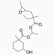 CCC(C)(CC1OC1C)C(=O)OC(C)OC(=O)C1(C)CCCC(O)C1